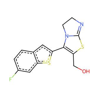 OCC1=C(c2cc3ccc(F)cc3s2)N2CCN=C2S1